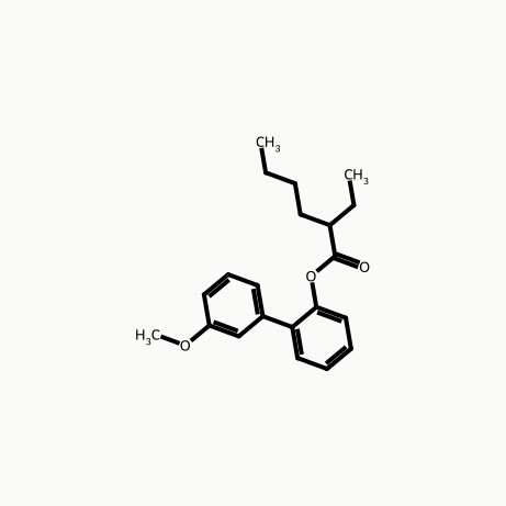 CCCCC(CC)C(=O)Oc1ccccc1-c1cccc(OC)c1